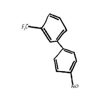 O=Nc1ccc(-c2cccc(C(F)(F)F)c2)cc1